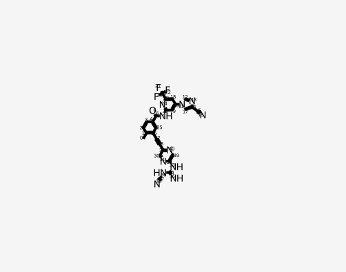 Cc1ccc(C(=O)Nc2cc(-n3cnc(C#N)c3)cc(C(F)(F)F)n2)cc1C#Cc1cnc(NC(=N)NC#N)cn1